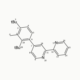 Cc1c(C(C)(C)C)ccc(-c2ccnc(-c3ccccn3)c2)c1C(C)(C)C